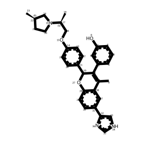 CC1=C(c2cccc(O)c2)C(c2ccc(OC[C@H](C)N3CC[C@@H](C)C3)cc2)Oc2ccc(-c3c[nH]cn3)cc21